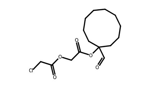 O=CC1(OC(=O)COC(=O)CCl)CCCCCCCCC1